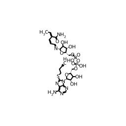 C#CCCSc1nc2c(N)ncnc2n1[C@@H]1O[C@H](COP(=O)(O)OP(=O)(O)OC[C@@H]2O[C@H](/N=C/C=C\C(=C/C)C(N)=O)C(O)[C@@H]2O)C(O)[C@@H]1O